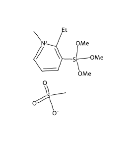 CCc1c([Si](OC)(OC)OC)ccc[n+]1C.CS(=O)(=O)[O-]